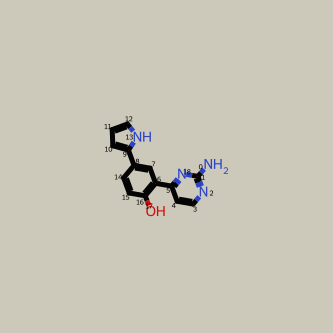 Nc1nccc(-c2cc(-c3ccc[nH]3)ccc2O)n1